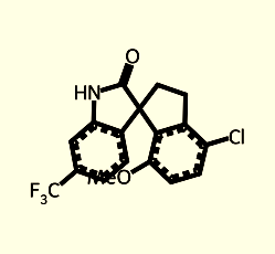 COc1ccc(Cl)c2c1C1(CC2)C(=O)Nc2cc(C(F)(F)F)ccc21